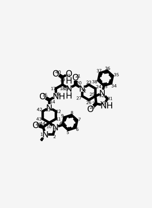 CN1CN(c2ccccc2)C2(CCN(C(=O)NCC(NC(=O)N3CCC4(CC3)C(=O)NCN4c3ccccc3)C(=O)O)CC2)C1=O